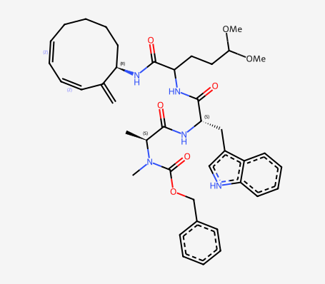 C=C1/C=C\C=C/CCCC[C@H]1NC(=O)C(CCC(OC)OC)NC(=O)[C@H](Cc1c[nH]c2ccccc12)NC(=O)[C@H](C)N(C)C(=O)OCc1ccccc1